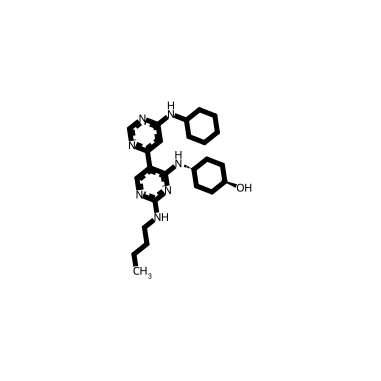 CCCCNc1ncc(-c2cc(NC3CCCCC3)ncn2)c(N[C@H]2CC[C@H](O)CC2)n1